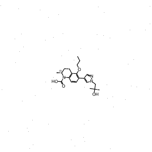 CCCOc1c(-c2cnn(CC(C)(C)O)c2)ccc2c1CC[C@H](C)N2C(=O)O